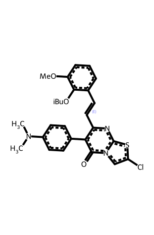 COc1cccc(/C=C/c2nc3sc(Cl)cn3c(=O)c2-c2ccc(N(C)C)cc2)c1OCC(C)C